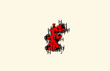 CSCC[C@H](NC(=O)[C@H](CC(C)C)NC(=O)[C@H](Cc1cn(P(=O)(O)O)c2ccccc12)NC(=O)[C@H](CCC(=O)NP(=O)(O)O)NC(=O)[C@@H](NC(=O)[C@H](Cc1ccccc1)NC(=O)[C@H](CC(=O)OP(=O)(O)O)NC(=O)[C@H](CCC(=O)NP(=O)(O)O)NC(=O)[C@H](C)N)C(C)C)C(=O)N[C@@H](CC(=O)NP(=O)(O)O)C(=O)N[C@H](C(=O)O)[C@@H](C)OP(=O)(O)O